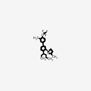 CCCC(CC)c1ccc(-c2ccc(OC(F)(F)F)c(C)c2)cc1-n1ccc(C)n1